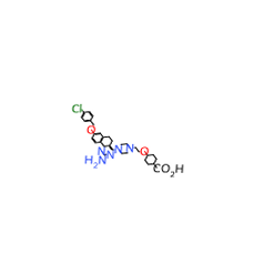 Nc1nc2c(c(N3CCN(CCOC4CCC(C(=O)O)CC4)CC3)n1)CCc1cc(OCc3ccc(Cl)cc3)ccc1-2